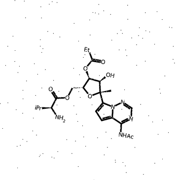 CCC(=O)O[C@H]1[C@@H](O)[C@](C)(c2ccc3c(NC(C)=O)ncnn23)O[C@@H]1COC(=O)[C@@H](N)C(C)C